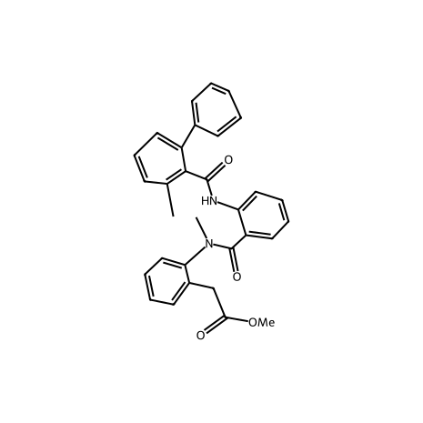 COC(=O)Cc1ccccc1N(C)C(=O)c1ccccc1NC(=O)c1c(C)cccc1-c1ccccc1